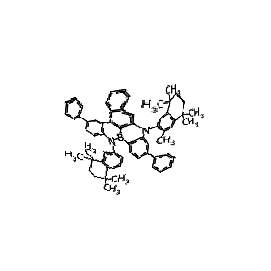 Cc1cc2c(cc1N1c3cc(-c4ccccc4)ccc3B3c4c1cc1ccccc1c4-c1cc(-c4ccccc4)ccc1N3c1ccc3c(c1)C(C)(C)CCC3(C)C)C(C)(C)CCC2(C)C